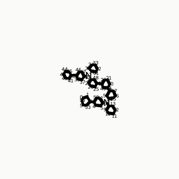 C1=CC(c2ccc(N(c3ccccc3)c3cccc(-c4cccc(-c5cccc(N(c6ccccc6)c6ccc(-c7ccccc7)cc6)c5)c4)c3)cc2)=CCC1